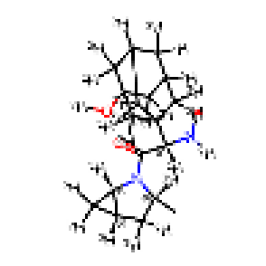 [2H]OC12C([2H])([2H])C3([2H])C([2H])([2H])C([2H])(C1([2H])[2H])C([2H])([2H])C([C@@]([2H])(C(=O)N1[C@]([2H])(C)C([2H])([2H])[C@]4([2H])C([2H])([2H])[C@]14[2H])N([2H])[2H])(C3([2H])[2H])C2([2H])[2H]